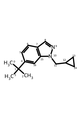 CC(C)(C)c1ccc2cnn(CC3CC3)c2c1